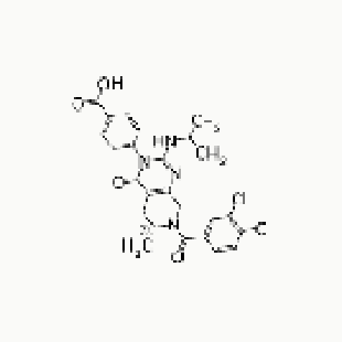 CC(C)Nc1nc2c(c(=O)n1-c1ccc(C(=O)O)cc1)C[C@@H](C)N(C(=O)c1ccc(Cl)c(Cl)c1)C2